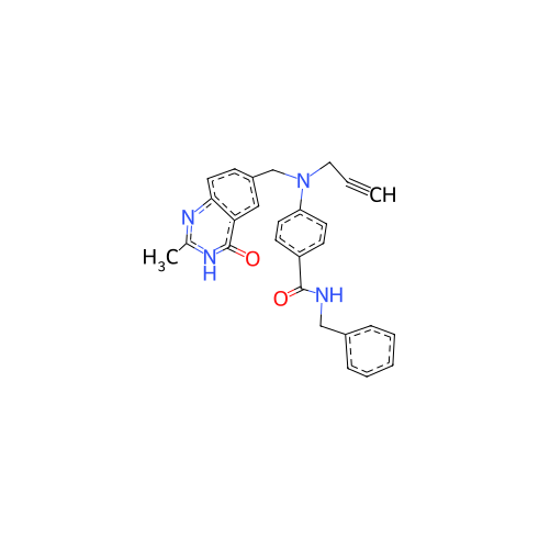 C#CCN(Cc1ccc2nc(C)[nH]c(=O)c2c1)c1ccc(C(=O)NCc2ccccc2)cc1